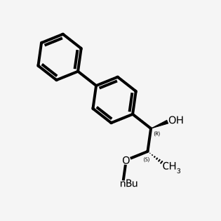 CCCCO[C@@H](C)[C@H](O)c1ccc(-c2ccccc2)cc1